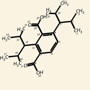 CC(C)C(c1ccc(C(=O)O)c(C(C(C)C)C(C)C)c1C(=O)O)C(C)C